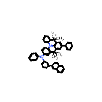 CC1(C)c2ccccc2N2c3ccc(N(c4ccccc4)c4cccc(-c5ccc6ccccc6c5)c4)cc3C(C)(C)c3cc(-c4ccccc4)cc1c32